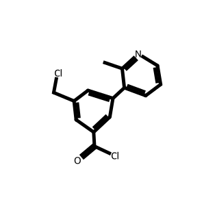 Cc1ncccc1-c1cc(CCl)cc(C(=O)Cl)c1